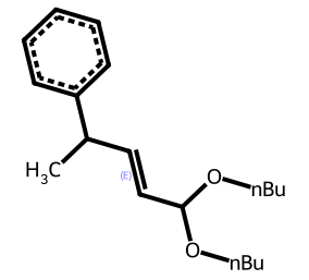 CCCCOC(/C=C/C(C)c1ccccc1)OCCCC